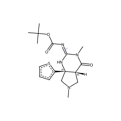 CN1C[C@H]2C(=O)N(C)/C(=N/C(=O)OC(C)(C)C)N[C@@]2(c2cccs2)C1